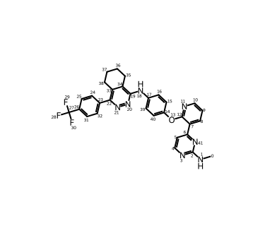 CNc1nccc(-c2cccnc2Oc2ccc(Nc3nnc(-c4ccc(C(F)(F)F)cc4)c4c3CCCC4)cc2)n1